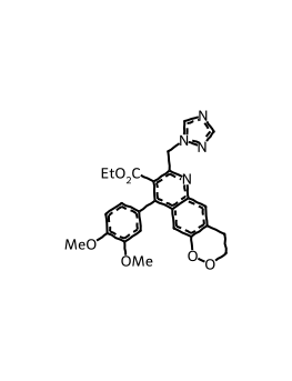 CCOC(=O)c1c(Cn2cncn2)nc2cc3c(cc2c1-c1ccc(OC)c(OC)c1)OOCC3